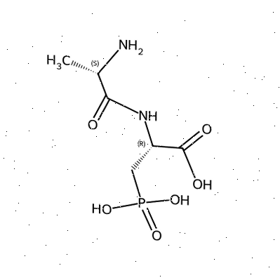 C[C@H](N)C(=O)N[C@@H](CP(=O)(O)O)C(=O)O